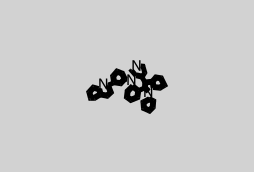 C1=NCCC2=C1N(c1cccc(-c3ccc4ccccc4n3)c1)c1ccccc1-c1c2c2ccccc2n1-c1ccccc1